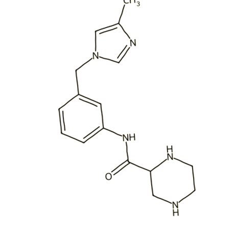 Cc1cn(Cc2cccc(NC(=O)C3CNCCN3)c2)cn1